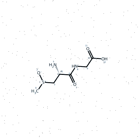 C[S+]([O-])C[C@H](N)C(=O)NCC(=O)O